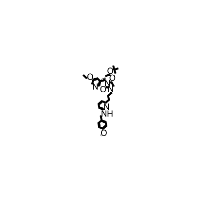 CCOc1cncc([C@H](CC(=O)OC(C)(C)C)N2CCN(CCCc3cccc(NCc4ccc(OC)cc4)n3)C2=O)c1